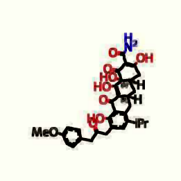 COc1ccc(CC(=O)Cc2cc(C(C)C)c3c(c2O)C(=O)C2=C(O)[C@]4(O)C(=O)C(C(N)=O)=C(O)C[C@@H]4C[C@@H]2C3)cc1